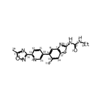 CCNC(=O)Nc1nc2cc(-c3ccc(-c4noc(C)n4)nc3)c(F)cc2s1